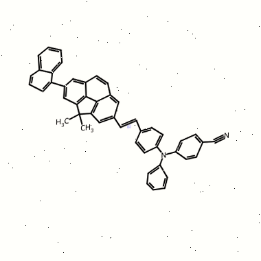 CC1(C)c2cc(/C=C/c3ccc(N(c4ccccc4)c4ccc(C#N)cc4)cc3)cc3ccc4cc(-c5cccc6ccccc56)cc1c4c23